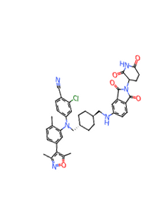 Cc1ccc(-c2c(C)noc2C)cc1N(C[C@H]1CC[C@H](CNc2ccc3c(c2)C(=O)N(C2CCC(=O)NC2=O)C3=O)CC1)c1ccc(C#N)c(Cl)c1